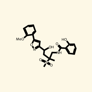 COc1ccccc1-c1cc(C(O)CC(C)(CNC(=O)c2ccccc2O)S(C)(=O)=O)no1